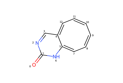 O=c1n[c]c2/c([nH]1)=C\C=C/C=C\C=2